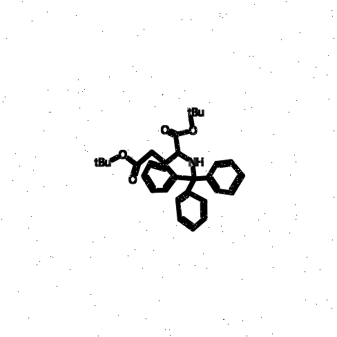 CC(C)(C)OC(=O)CCC(NC(c1ccccc1)(c1ccccc1)c1ccccc1)C(=O)OC(C)(C)C